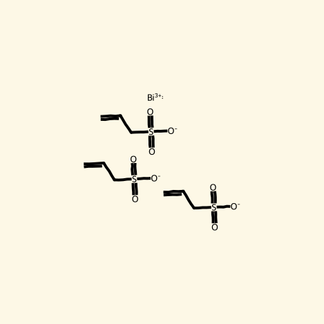 C=CCS(=O)(=O)[O-].C=CCS(=O)(=O)[O-].C=CCS(=O)(=O)[O-].[Bi+3]